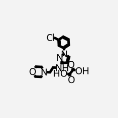 Clc1cccc(-n2ccc(NCCN3CCOCC3)n2)c1.O=C(O)C(=O)O